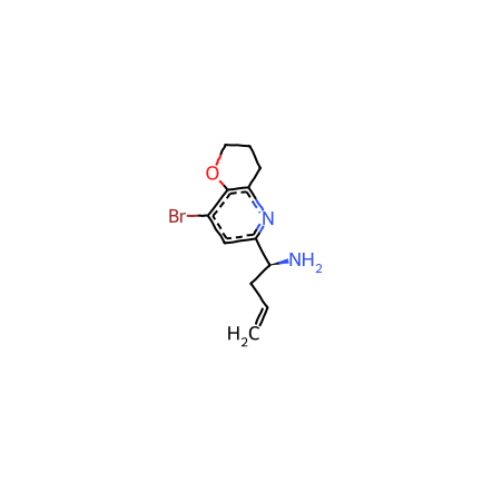 C=CC[C@H](N)c1cc(Br)c2c(n1)CCCO2